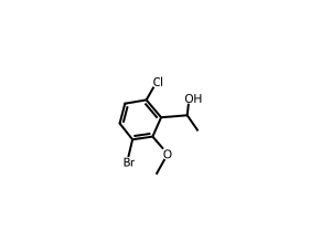 COc1c(Br)ccc(Cl)c1C(C)O